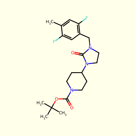 Cc1cc(F)c(CN2CCN(C3CCN(C(=O)OC(C)(C)C)CC3)C2=O)cc1F